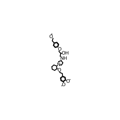 COCCc1ccc(OCC(O)CN[C@@H]2CCN([C@@H]3CCCCC3OCCc3ccc(OC)c(OC)c3)C2)cc1